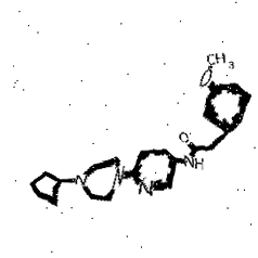 COc1cccc(CC(=O)Nc2ccc(N3CCN(C4CCCC4)CC3)nc2)c1